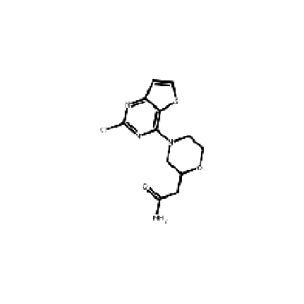 NC(=O)CC1CN(c2nc(Cl)nc3ccsc23)CCO1